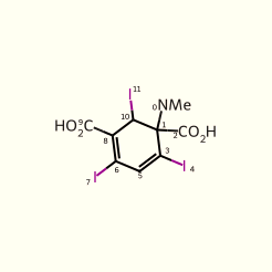 CNC1(C(=O)O)C(I)=CC(I)=C(C(=O)O)C1I